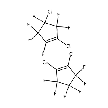 FC1(F)C(Cl)=C(Cl)C(F)(F)C1(F)F.FC1=C(Cl)C(F)(F)C(F)(Cl)C1(F)F